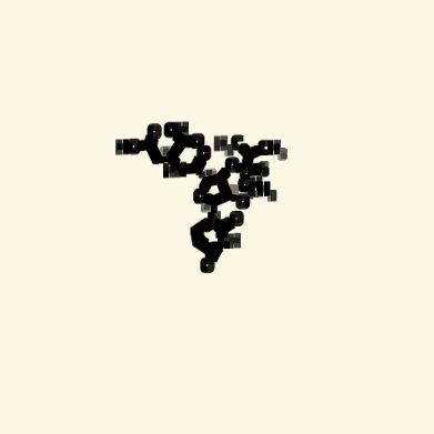 CO[C@H]1C(OP(O)(=S)C(C)C)[C@@H](C(=O)N[C@H](CC(=O)O)C(=O)O)O[C@H]1n1ccc(=O)[nH]c1=O